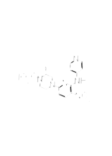 C[C@H]1CN(c2ccc([N+](=O)[O-])c(Nc3ccncc3)n2)CCN1C(=O)O